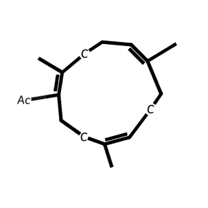 CC(=O)C1=C(C)CCC=C(C)CCC=C(C)CC1